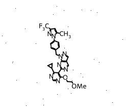 COCCOc1ncnc(C2CC2)c1-c1ncc2cnn(Cc3ccc(-n4nc(C(F)(F)F)cc4C)cc3)c2n1